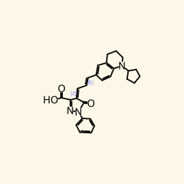 O=C(O)C1=NN(c2ccccc2)C(=O)/C1=C\C=C\c1ccc2c(c1)CCCN2C1CCCC1